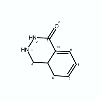 O=C1NNCC2CC=CC=C12